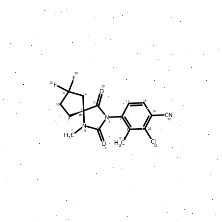 Cc1c(N2C(=O)N(C)[C@@]3(CCC(F)(F)C3)C2=O)ccc(C#N)c1Cl